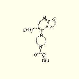 CCOC(=O)c1cnc2sccc2c1N1CCN(C(=O)OC(C)(C)C)CC1